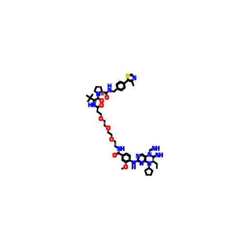 CCC1C(=N)N(C=N)c2cnc(Nc3ccc(C(=O)NCCOCCOCCOCCC(=O)N[C@H](C(=O)N4CCC[C@H]4C(=O)NCc4ccc(-c5scnc5C)cc4)C(C)(C)C)cc3OC)nc2N1C1CCCC1